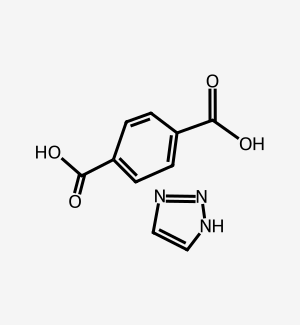 O=C(O)c1ccc(C(=O)O)cc1.c1c[nH]nn1